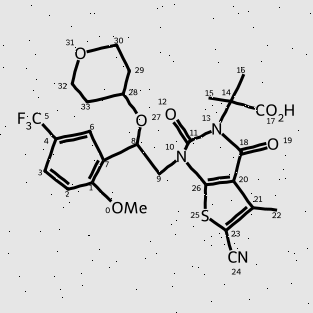 COc1ccc(C(F)(F)F)cc1C(Cn1c(=O)n(C(C)(C)C(=O)O)c(=O)c2c(C)c(C#N)sc21)OC1CCOCC1